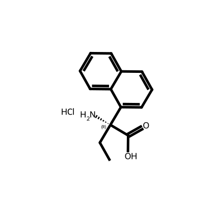 CC[C@](N)(C(=O)O)c1cccc2ccccc12.Cl